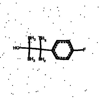 BC(B)(O)C(B)(B)c1ccc(F)cc1